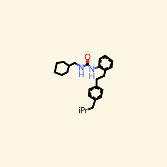 CC(C)Cc1ccc(CCc2ccccc2NC(=O)NCC2CCCCC2)cc1